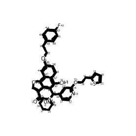 COC(=O)c1coc2c1c(C(c1ccnc(OCCc3cccs3)c1)N1CCCCC1)c(O)c1ccc(OCCc3ccc(F)cc3)cc12